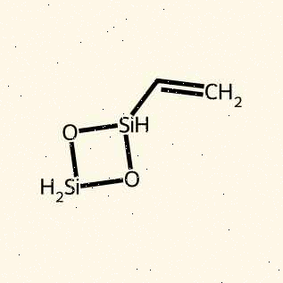 C=C[SiH]1O[SiH2]O1